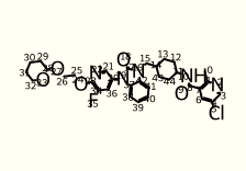 Cc1ncc(Cl)cc1C(=O)NC1CCC(Cn2c(=O)n(-c3cnc(OCCOC4CCCCO4)c(F)c3)c3ccccc32)CC1